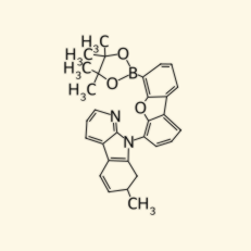 CC1C=Cc2c(n(-c3cccc4c3oc3c(B5OC(C)(C)C(C)(C)O5)cccc34)c3ncccc23)C1